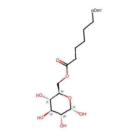 CCCCCCCCCCCCCCCC(=O)OC[C@H]1O[C@H](O)[C@H](O)[C@@H](O)[C@@H]1O